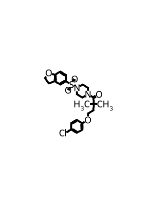 CC(C)(CCOc1ccc(Cl)cc1)C(=O)N1CCN(S(=O)(=O)c2ccc3c(c2)CCO3)CC1